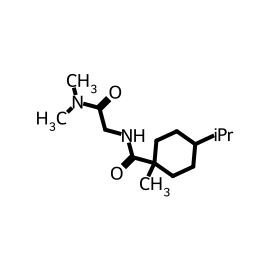 CC(C)C1CCC(C)(C(=O)NCC(=O)N(C)C)CC1